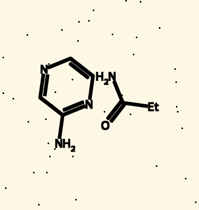 CCC(N)=O.Nc1cnccn1